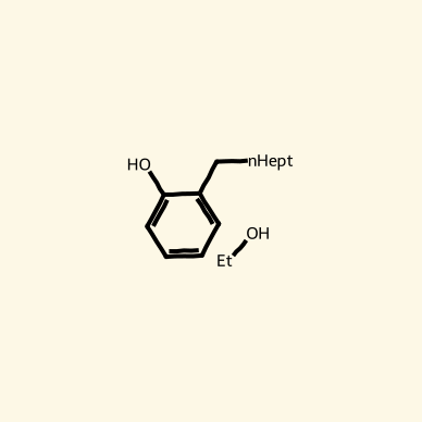 CCCCCCCCc1ccccc1O.CCO